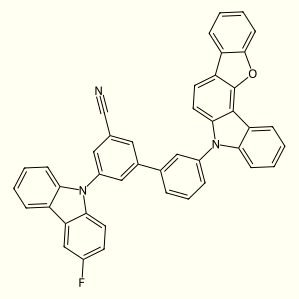 N#Cc1cc(-c2cccc(-n3c4ccccc4c4c5oc6ccccc6c5ccc43)c2)cc(-n2c3ccccc3c3cc(F)ccc32)c1